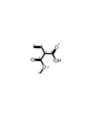 C=CC(C(=O)O)C(=O)OC